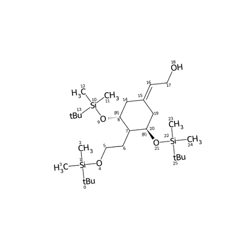 CC(C)(C)[Si](C)(C)OCCC1[C@H](O[Si](C)(C)C(C)(C)C)CC(=CCO)C[C@H]1O[Si](C)(C)C(C)(C)C